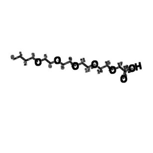 CCCCOCCOCCOCCOCCOCC(=O)O